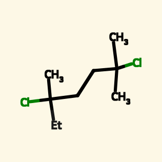 CCC(C)(Cl)CCC(C)(C)Cl